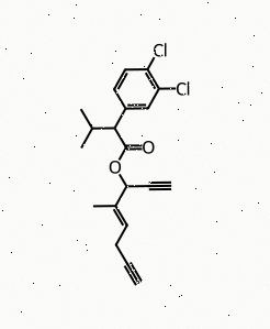 C#CC/C=C(\C)C(C#C)OC(=O)C(c1ccc(Cl)c(Cl)c1)C(C)C